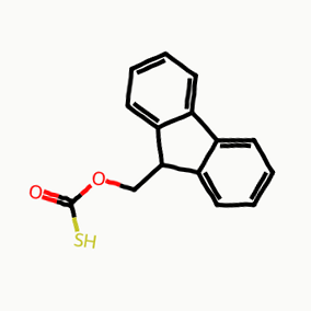 O=C(S)OCC1c2ccccc2-c2ccccc21